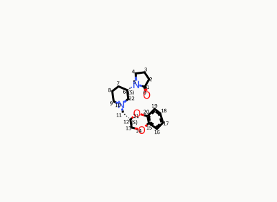 O=C1CCCN1[C@H]1CCCN(C[C@H]2COc3ccccc3O2)C1